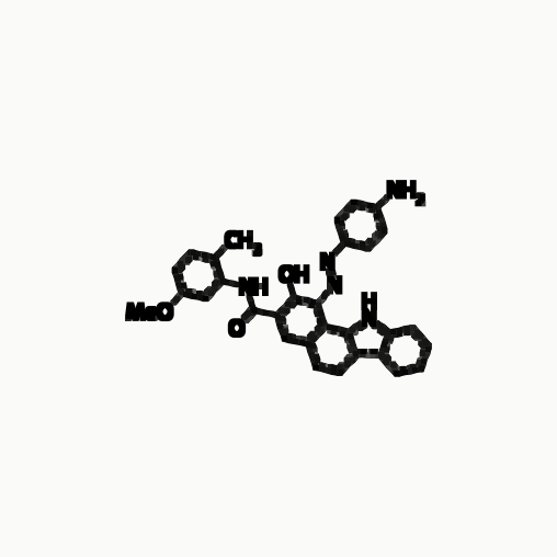 COc1ccc(C)c(NC(=O)c2cc3ccc4c5ccccc5[nH]c4c3c(N=Nc3ccc(N)cc3)c2O)c1